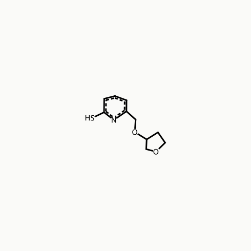 Sc1cccc(COC2CCOC2)n1